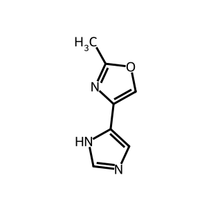 Cc1nc(-c2cnc[nH]2)co1